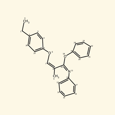 CCc1ccc(OC=C(C)/C(=N\c2ccccc2)Oc2ccccc2)cc1